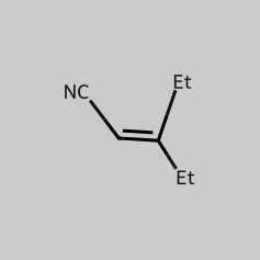 CCC(=CC#N)CC